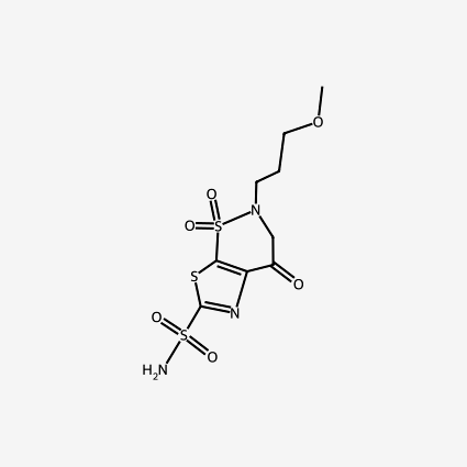 COCCCN1CC(=O)c2nc(S(N)(=O)=O)sc2S1(=O)=O